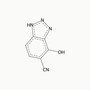 N#Cc1ccc2[nH]nnc2c1O